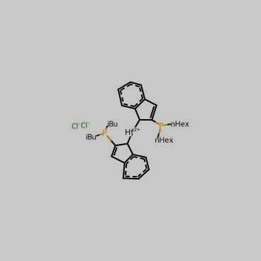 CCCCCCP(CCCCCC)C1=Cc2ccccc2[CH]1[Hf+2][CH]1C(P(C(C)CC)C(C)CC)=Cc2ccccc21.[Cl-].[Cl-]